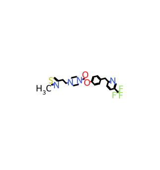 Cc1nc(CCN2CCN(C(=O)Oc3ccc(Cc4ccc(C(F)(F)F)cn4)cc3)CC2)cs1